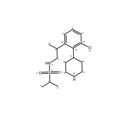 CC(CNS(=O)(=O)C(C)C)c1cccc(Cl)c1C1CCNCC1